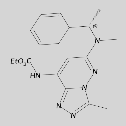 CCOC(=O)Nc1cc(N(C)[C@@H](C)C2C=CC=CC2)nn2c(C)nnc12